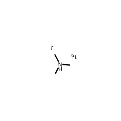 C[NH+](C)C.[I-].[Pt]